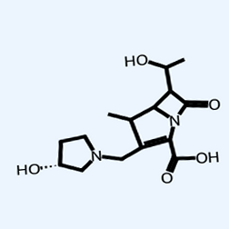 CC(O)C1C(=O)N2C(C(=O)O)=C(CN3CC[C@@H](O)C3)C(C)C12